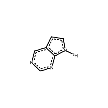 [3H]n1ccc2cncnc21